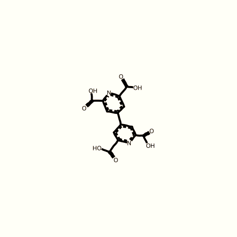 O=C(O)c1cc(-c2cc(C(=O)O)nc(C(=O)O)c2)cc(C(=O)O)n1